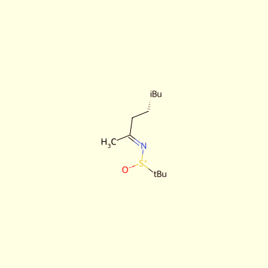 CC[C@@H](C)CCC(C)=N[S+]([O-])C(C)(C)C